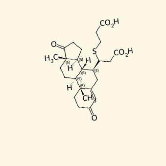 C[C@]12CCC(=O)C=C1C[C@H](C(CC(=O)O)SCCC(=O)O)[C@@H]1[C@@H]2CC[C@]2(C)C(=O)CC[C@@H]12